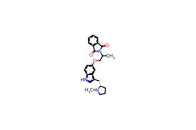 CC(COc1ccc2[nH]cc(C[C@@H]3CCCN3C)c2c1)N1C(=O)c2ccccc2C1=O